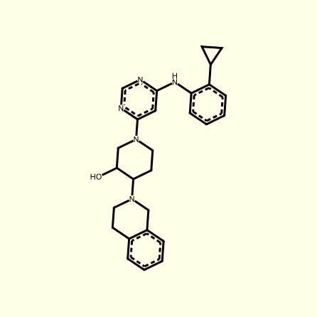 OC1CN(c2cc(Nc3ccccc3C3CC3)ncn2)CCC1N1CCc2ccccc2C1